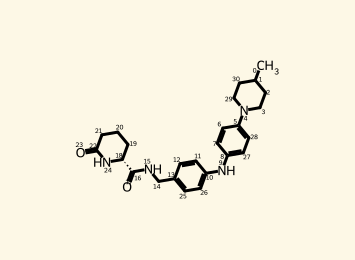 CC1CCN(c2ccc(Nc3ccc(CNC(=O)[C@H]4CCCC(=O)N4)cc3)cc2)CC1